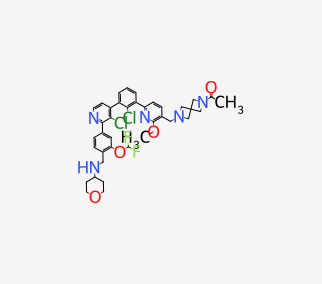 COc1nc(-c2cccc(-c3ccnc(-c4ccc(CNC5CCOCC5)c(OC(F)F)c4)c3Cl)c2Cl)ccc1CN1CC2(C1)CN(C(C)=O)C2